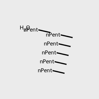 CCCCCC.CCCCCC.CCCCCC.CCCCCC.CCCCCC.CCCCCC.O